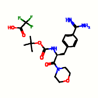 CC(C)(C)OC(=O)N[C@@H](Cc1ccc(C(=N)N)cc1)C(=O)N1CCOCC1.O=C(O)C(F)(F)F